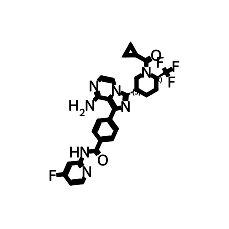 Nc1nccn2c([C@H]3CC[C@H](C(F)(F)F)N(C(=O)C4CC4)C3)nc(-c3ccc(C(=O)Nc4cc(F)ccn4)cc3)c12